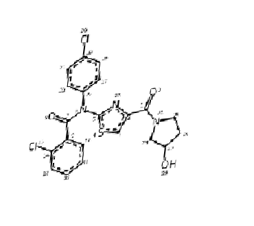 O=C(c1csc(N(C(=O)c2ccccc2Cl)c2ccc(Cl)cc2)n1)N1CCC(O)C1